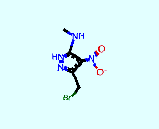 CNc1[nH]nc(CBr)c1[N+](=O)[O-]